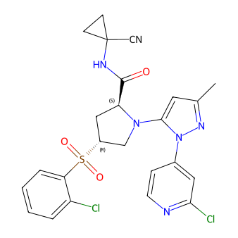 Cc1cc(N2C[C@H](S(=O)(=O)c3ccccc3Cl)C[C@H]2C(=O)NC2(C#N)CC2)n(-c2ccnc(Cl)c2)n1